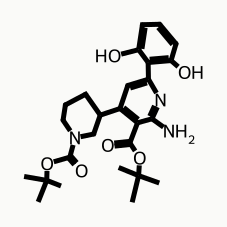 CC(C)(C)OC(=O)c1c(C2CCCN(C(=O)OC(C)(C)C)C2)cc(-c2c(O)cccc2O)nc1N